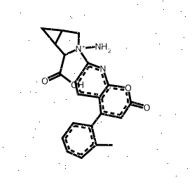 Cc1ccccc1-c1cc(=O)oc2nc([N+]3(N)CC4CC4C3C(=O)O)ccc12